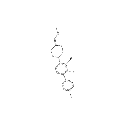 COC=C1CCC(c2ccc(-c3ccc(C)cc3)c(F)c2F)CC1